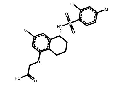 O=C(O)COc1cc(Br)cc2c1CCC[C@H]2NS(=O)(=O)c1ccc(Cl)cc1Cl